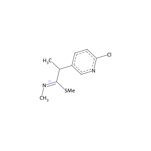 C/N=C(\SC)C(C)c1ccc(Cl)nc1